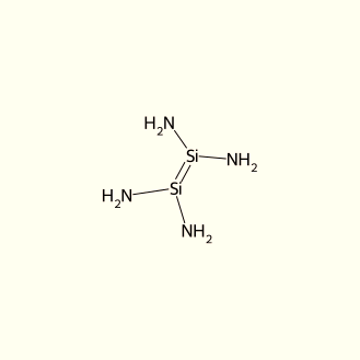 N[Si](N)=[Si](N)N